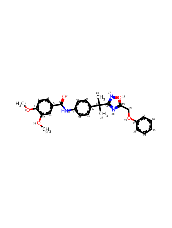 COc1ccc(C(=O)Nc2ccc(C(C)(C)c3noc(COc4ccccc4)n3)cc2)cc1OC